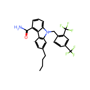 CCCCc1c[c]c2c3c(C(N)=O)cccc3n(Cc3ccc(C(F)(F)F)cc3C(F)(F)F)c2c1